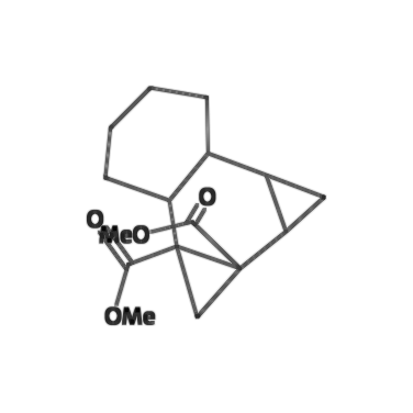 COC(=O)C12CC1(C(=O)OC)C1CC1C1CCCCC12